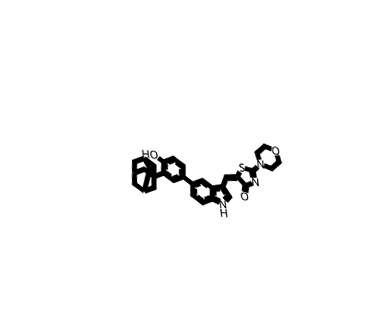 O=C1N=C(N2CCOCC2)SC1=Cc1c[nH]c2ccc(-c3ccc(O)c(C45CC6CC(CC(C6)C4)C5)c3)cc12